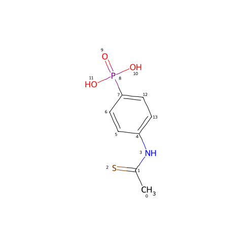 CC(=S)Nc1ccc(P(=O)(O)O)cc1